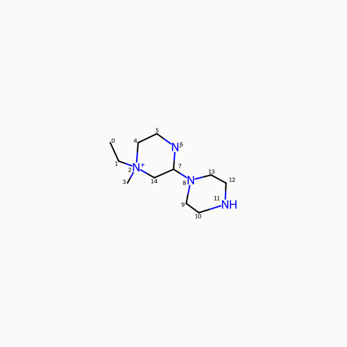 CC[N+]1(C)CC[N]C(N2CCNCC2)C1